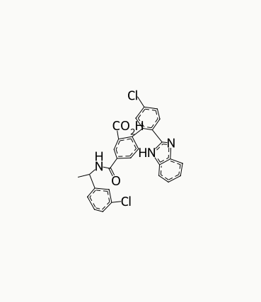 CC(NC(=O)c1ccc(-c2cc(Cl)ccc2-c2nc3ccccc3[nH]2)c(C(=O)O)c1)c1cccc(Cl)c1